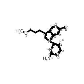 COCCCc1cn(-c2nc(N)ncc2F)c2cc(Br)ncc12